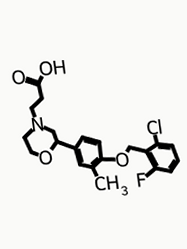 Cc1cc(C2CN(CCC(=O)O)CCO2)ccc1OCc1c(F)cccc1Cl